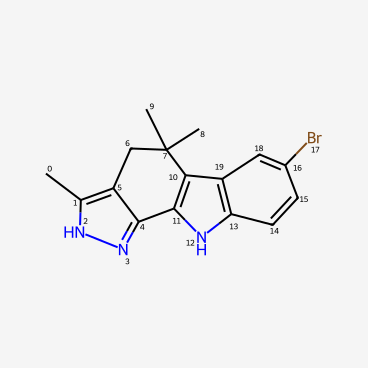 Cc1[nH]nc2c1CC(C)(C)c1c-2[nH]c2ccc(Br)cc12